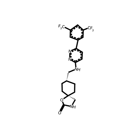 O=C1NC[C@]2(CC[C@@H](CNc3ccc(-c4cc(C(F)(F)F)cc(C(F)(F)F)c4)nn3)CC2)O1